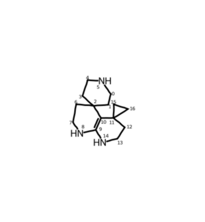 C1CC2(CCN1)CCNC1=C2C2(CCN1)CC2